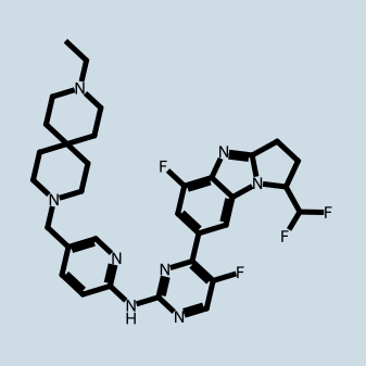 CCN1CCC2(CC1)CCN(Cc1ccc(Nc3ncc(F)c(-c4cc(F)c5nc6n(c5c4)C(C(F)F)CC6)n3)nc1)CC2